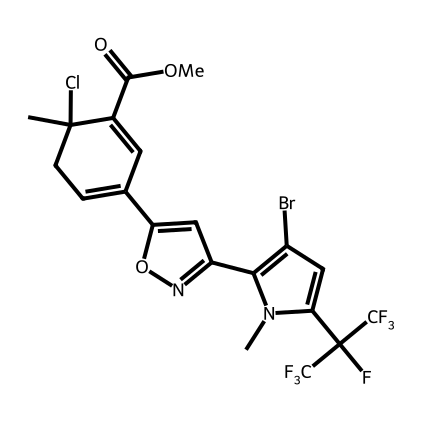 COC(=O)C1=CC(c2cc(-c3c(Br)cc(C(F)(C(F)(F)F)C(F)(F)F)n3C)no2)=CCC1(C)Cl